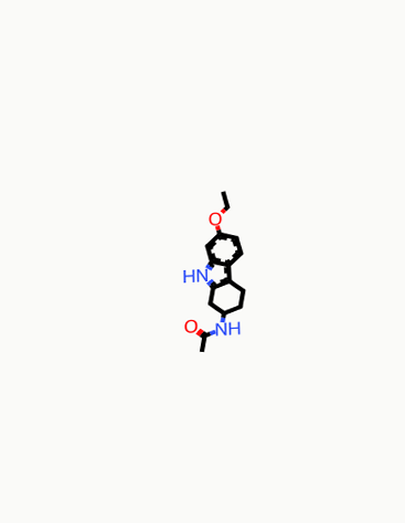 CCOc1ccc2c3c([nH]c2c1)CC(NC(C)=O)CC3